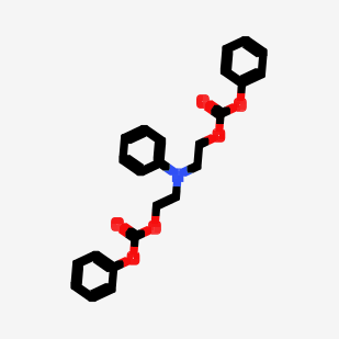 O=C(OCCN(CCOC(=O)Oc1ccccc1)c1ccccc1)Oc1ccccc1